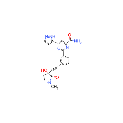 CN1CCC(O)(C#Cc2cccc(-c3nc(C(N)=O)cc(-c4ccn[nH]4)n3)c2)C1=O